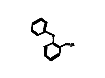 O=C(O)c1ccc[c]c1Oc1ccccc1